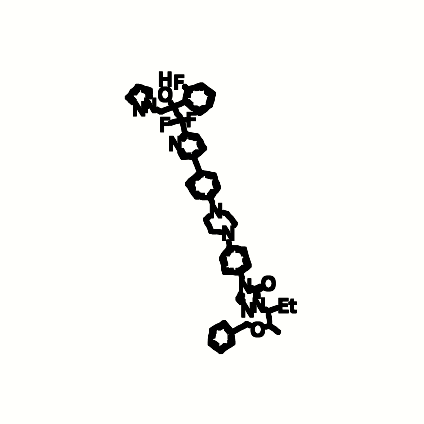 CCC(C(C)OCc1ccccc1)n1ncn(-c2ccc(N3CCN(c4ccc(-c5ccc(C(F)(F)C(O)(Cn6cccn6)c6ccccc6F)nc5)cc4)CC3)cc2)c1=O